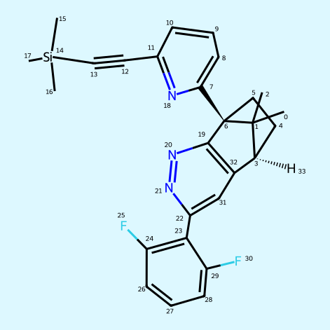 CC1(C)[C@H]2CC[C@@]1(c1cccc(C#C[Si](C)(C)C)n1)c1nnc(-c3c(F)cccc3F)cc12